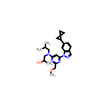 COCc1nc(N(CC(C)C)CC(C)O)cc(-n2ncc3ccc(C4CC45CC5)cc32)n1